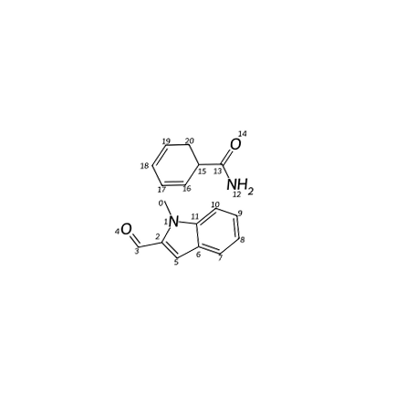 Cn1c(C=O)cc2ccccc21.NC(=O)C1C=CC=CC1